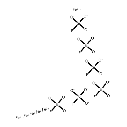 [Fe+3].[Fe+3].[Fe+3].[Fe+3].[Fe+3].[Fe+3].[O-][Si]([O-])([O-])F.[O-][Si]([O-])([O-])F.[O-][Si]([O-])([O-])F.[O-][Si]([O-])([O-])F.[O-][Si]([O-])([O-])F.[O-][Si]([O-])([O-])F